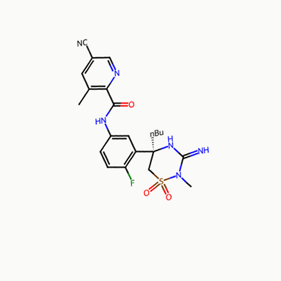 CCCC[C@@]1(c2cc(NC(=O)c3ncc(C#N)cc3C)ccc2F)CS(=O)(=O)N(C)C(=N)N1